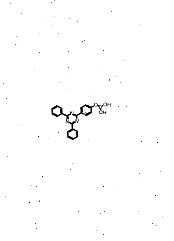 OB(O)Oc1ccc(-c2nc(-c3ccccc3)nc(-c3ccccc3)n2)cc1